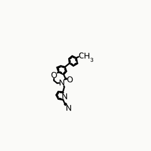 Cc1ccc(-c2ccc3c(c2)C(=O)N(Cc2cccc(C#N)n2)CCO3)cc1